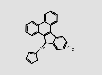 C1=CC[C]([Zr+2][CH]2c3ccccc3-c3c2c2ccccc2c2ccccc32)=C1.[Cl-].[Cl-]